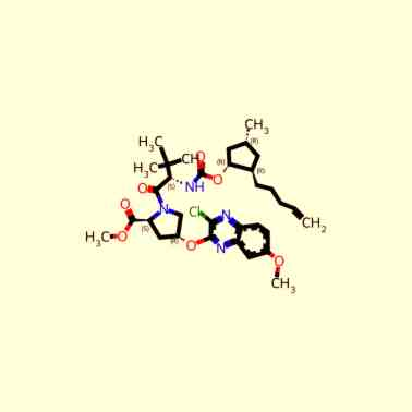 C=CCCC[C@@H]1C[C@@H](C)C[C@H]1OC(=O)N[C@H](C(=O)N1C[C@H](Oc2nc3cc(OC)ccc3nc2Cl)C[C@H]1C(=O)OC)C(C)(C)C